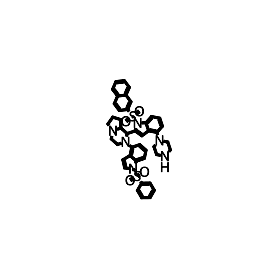 O=S(=O)(c1ccccc1)n1ccc2c(N3CCN4CCCC4C3c3cc4c(N5CCNCC5)cccc4n3S(=O)(=O)c3ccc4ccccc4c3)cccc21